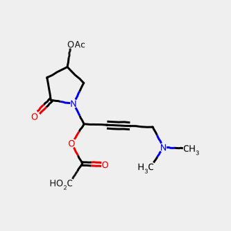 CC(=O)OC1CC(=O)N(C(C#CCN(C)C)OC(=O)C(=O)O)C1